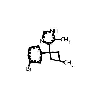 Cc1[nH]cnc1C1(c2cccc(Br)c2)CC(C)C1